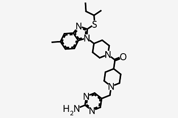 CCC(C)Sc1nc2cc(C)ccc2n1C1CCN(C(=O)C2CCN(Cc3cnc(N)nc3)CC2)CC1